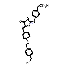 CC(C)Cc1ccc(COc2ccc(/C=C3\S/C(=N/c4ccc(CC(=O)O)cc4)N(C)C3=O)cc2)cc1